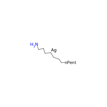 CCCCCCCCCCCCN.[Ag]